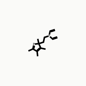 C=CP(C=C)CCC1(C)P=C(C)C(C)=C1C